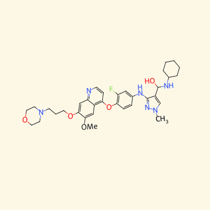 COc1cc2c(Oc3ccc(Nc4nn(C)cc4C(O)NC4CCCCC4)cc3F)ccnc2cc1OCCCN1CCOCC1